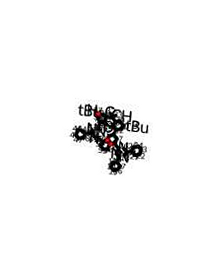 CC(C)(C)c1cc(-c2cccc(-c3nc(-c4ccccc4)nc(-c4ccccc4)n3)c2)c2c(c1)C(C)(C)c1cc(C(C)(C)C)cc(-c3nc(-c4ccccc4)nc(-c4ccccc4)n3)c1O2